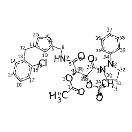 CC(=O)O[C@@H](C(=O)NCc1cc(Cc2ccccc2Cl)cs1)[C@@H](OC(C)=O)C(=O)N1CCCN1c1ccccc1